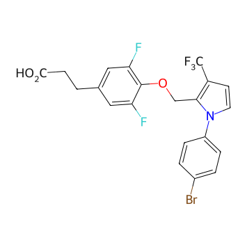 O=C(O)CCc1cc(F)c(OCc2c(C(F)(F)F)ccn2-c2ccc(Br)cc2)c(F)c1